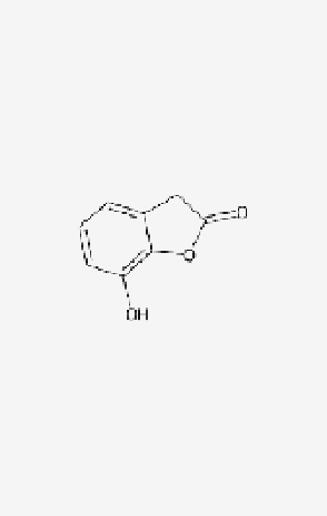 O=C1Cc2cccc(O)c2O1